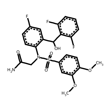 COc1ccc(S(=O)(=O)N(CC(N)=O)c2ccc(F)cc2C(O)c2c(F)cccc2F)cc1OC